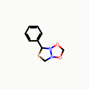 [CH]1SC(c2ccccc2)N2OCON12